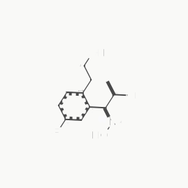 C=C(CC)/C(=N/O)c1cc(F)ccc1CCO